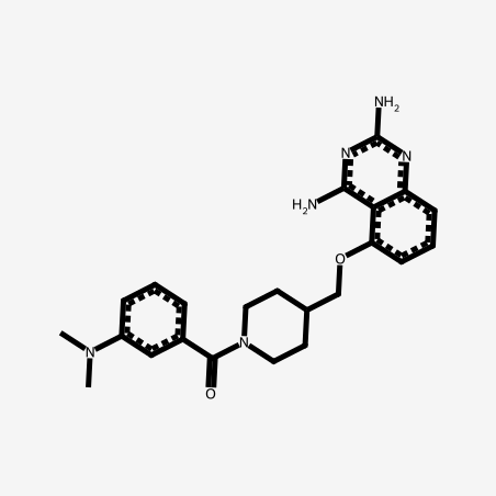 CN(C)c1cccc(C(=O)N2CCC(COc3cccc4nc(N)nc(N)c34)CC2)c1